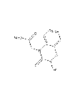 COC(=O)CN1C(=S)C(C(C)C)Sc2ccccc21